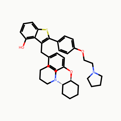 Oc1cccc2sc(-c3ccc(OCCN4CCCC4)cc3)c(Cc3ccc(O[C@H]4CCCC[C@@H]4N4CCCCC4)cc3)c12